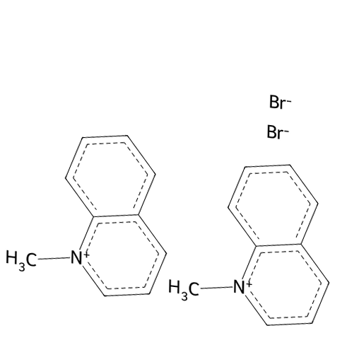 C[n+]1cccc2ccccc21.C[n+]1cccc2ccccc21.[Br-].[Br-]